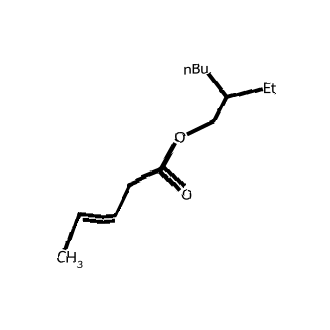 CC=CCC(=O)OCC(CC)CCCC